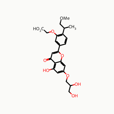 COCC(C)c1ccc(-c2cc(=O)c3c(O)cc(OCC(O)CO)cc3o2)cc1OCC(=O)O